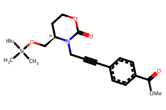 COC(=O)c1ccc(C#CCN2C(=O)OCC[C@@H]2CO[Si](C)(C)C(C)(C)C)cc1